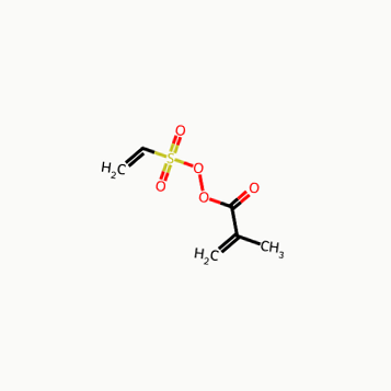 C=CS(=O)(=O)OOC(=O)C(=C)C